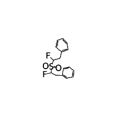 O=S(=O)(C(F)Cc1ccccc1)C(F)Cc1ccccc1